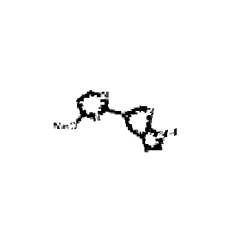 COc1ccnc(-c2cnc3[nH]ccc3c2)n1